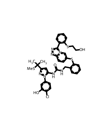 CSC(C)(C)c1cc(NC(=O)NCc2ccccc2Sc2ccc3nnc(-c4ccccc4SCCO)n3c2)n(-c2ccc(Cl)c(O)c2)n1